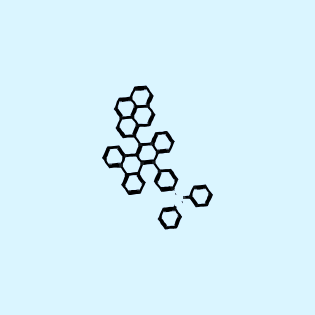 c1ccc(N(c2ccccc2)c2ccc(-c3c4ccccc4c(-c4ccc5ccc6cccc7ccc4c5c67)c4c5ccccc5c5ccccc5c34)cc2)cc1